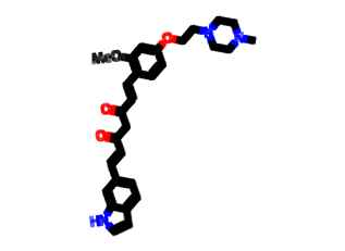 COc1cc(OCCN2CCN(C)CC2)ccc1/C=C/C(=O)CC(=O)/C=C/c1ccc2cc[nH]c2c1